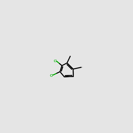 [CH2]c1ccc(Cl)c(Cl)c1C